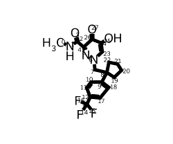 CNC(=O)c1nn(CC2(c3ccc(C(F)(F)F)cc3)CCCC2)cc(O)c1=O